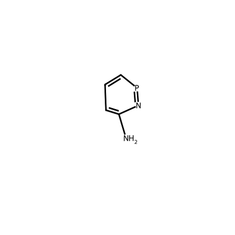 Nc1cccpn1